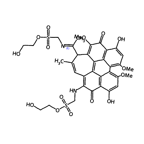 COc1c2c3c4c(c(NCS(=O)(=O)OCCO)c(=O)c5c(O)cc(OC)c(c6c(OC)cc(O)c(c1=O)c63)c54)C=C(C)C2/C(C)=N/CS(=O)(=O)OCCO